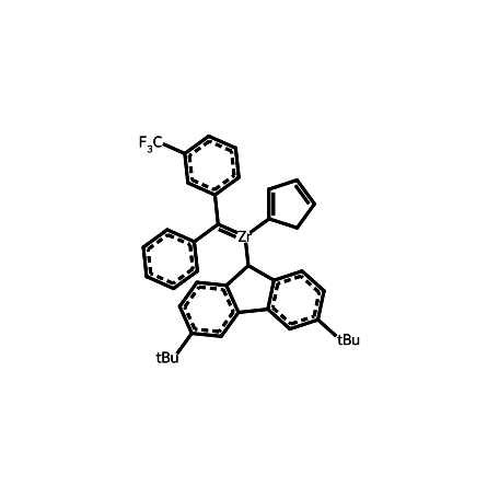 CC(C)(C)c1ccc2c(c1)-c1cc(C(C)(C)C)ccc1[CH]2[Zr]([C]1=CC=CC1)=[C](c1ccccc1)c1cccc(C(F)(F)F)c1